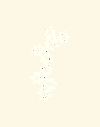 c1ccc(-n2c3ccccc3c3cc(-n4c5ccccc5c5cc(-c6ccc7c(c6)c6ccccc6n7-c6cccc7c6sc6ccccc67)ccc54)ccc32)cc1